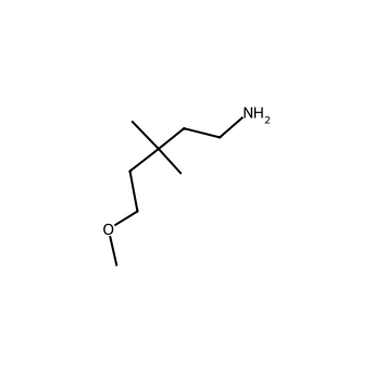 COCCC(C)(C)CCN